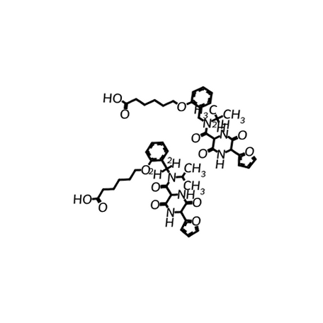 [2H]C(C)(C)N(Cc1ccccc1OCCCCCC(=O)O)C(=O)C1NC(=O)C(c2ccco2)NC1=O.[2H]C([2H])(c1ccccc1OCCCCCC(=O)O)N(C(=O)C1NC(=O)C(c2ccco2)NC1=O)C(C)C